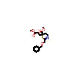 COC(=O)CCC1(C(=O)OC)CCN=C(COCc2ccccc2)S1